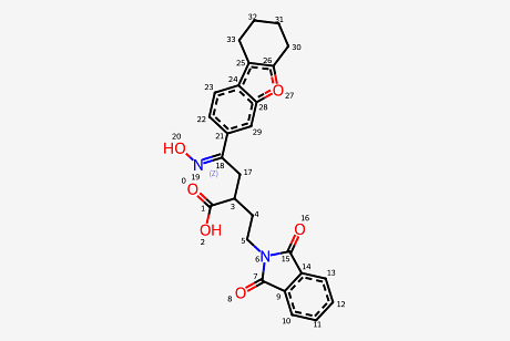 O=C(O)C(CCN1C(=O)c2ccccc2C1=O)C/C(=N/O)c1ccc2c3c(oc2c1)CCCC3